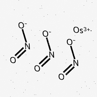 O=N[O-].O=N[O-].O=N[O-].[Os+3]